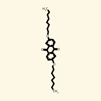 CCCCCCCCOc1ccc2c(c1)C(=O)c1ccc(OCCCCCCCC)cc1C2=O